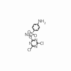 Nc1ccc(S(=O)(=O)Oc2nc(Cl)nc(Cl)n2)cc1.[Na]